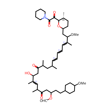 COC1CCC(CCC(CC(=O)C(C)/C=C(\C)C(O)CC(=O)C(C)CC(C)/C=C/C=C/C=C(\C)C(CC2CC[C@@H](C)C(C(=O)C(=O)N3CCCCC3)O2)OC)OC=O)CC1